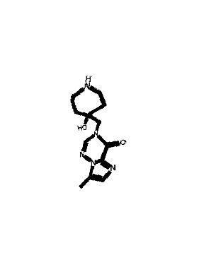 Cc1cnc2c(=O)n(CC3(O)CCNCC3)cnn12